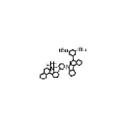 Cc1ccc(-n2c3ccccc3c3c4ccccc4c(-c4cc(C(C)(C)C)cc(C(C)(C)C)c4)cc32)cc1-c1cccc2c1[nH]c1ccc3ccccc3c12